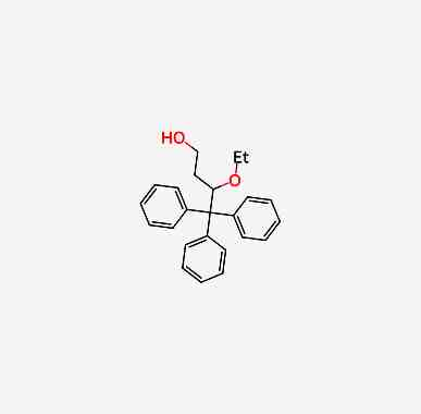 CCOC(CCO)C(c1ccccc1)(c1ccccc1)c1ccccc1